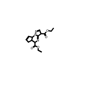 CCOC(=O)C1C=NN2C1=NC(C(=O)OCC)C1CC=CC12